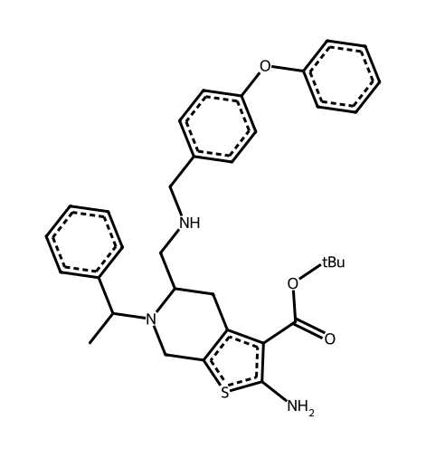 CC(c1ccccc1)N1Cc2sc(N)c(C(=O)OC(C)(C)C)c2CC1CNCc1ccc(Oc2ccccc2)cc1